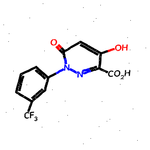 O=C(O)c1nn(-c2cccc(C(F)(F)F)c2)c(=O)cc1O